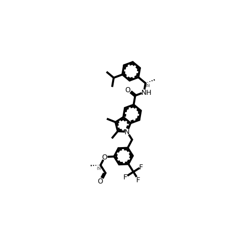 Cc1c(C)n(Cc2cc(O[C@@H](C)C=O)cc(C(F)(F)F)c2)c2ccc(C(=O)N[C@@H](C)c3cccc(C(C)C)c3)cc12